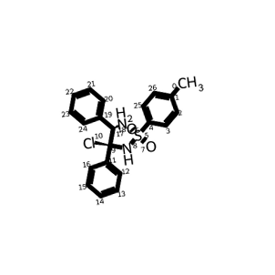 Cc1ccc(S(=O)(=O)N[C@](Cl)(c2ccccc2)[C@@H](N)c2ccccc2)cc1